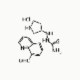 Cl.NC(=S)NNC1CCNC1.O=Cc1cccc2cccnc12